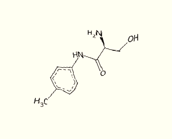 Cc1ccc(NC(=O)[C@@H](N)CO)cc1